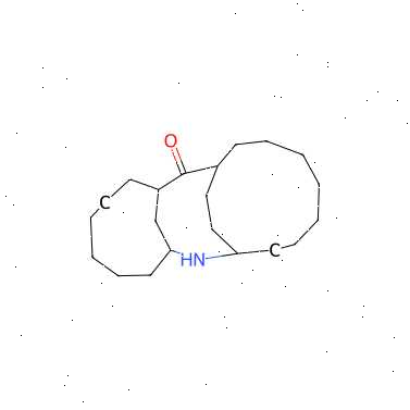 O=C1C2CCCCCCCC(CC2)NC2CCCCCCC1C2